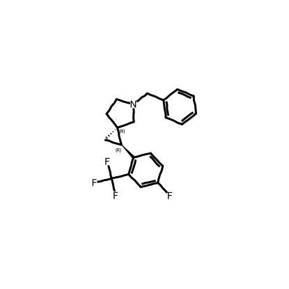 Fc1ccc([C@H]2C[C@@]23CCN(Cc2ccccc2)C3)c(C(F)(F)F)c1